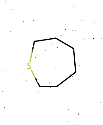 C1CCCSCC1